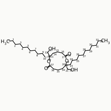 CCCCCCCCCCC[C@]1(CO)CCCC(=O)O[C@](CO)(CCCCCCCCCCC)CCCC(=O)O1